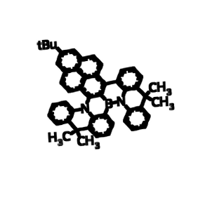 CC(C)(C)c1cc2ccc3c4c5c(c6ccc(c1)c2c36)N1c2ccccc2C(C)(C)c2cccc(c21)B5N1c2ccccc2C(C)(C)c2cccc-4c21